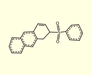 O=S(=O)(c1ccccc1)C1C=Cc2cc3ccccc3cc2C1